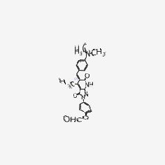 Cc1c2c([nH]c(=O)/c1=C\c1ccc(N(C)C)cc1)=NN(c1ccc(OC=O)cc1)C2=O